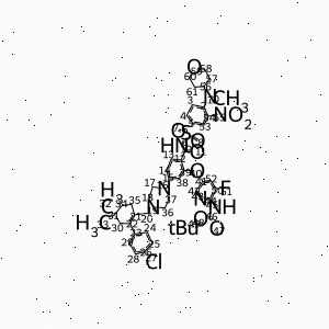 CN(c1ccc(S(=O)(=O)NC(=O)c2ccc(N3CCN(CC4=C(c5ccc(Cl)cc5)CC(C)(C)CC4)CC3)cc2Oc2cnc(NC(=O)OC(C)(C)C)c(F)c2)cc1[N+](=O)[O-])C1CCOCC1